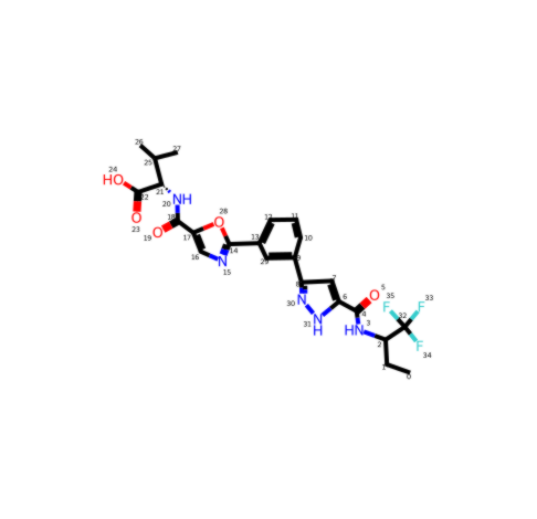 CCC(NC(=O)c1cc(-c2cccc(-c3ncc(C(=O)N[C@H](C(=O)O)C(C)C)o3)c2)n[nH]1)C(F)(F)F